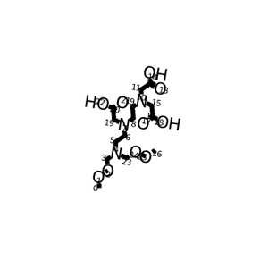 COOCN(CCN(CCN(CC(=O)O)CC(=O)O)CC(=O)O)COOC